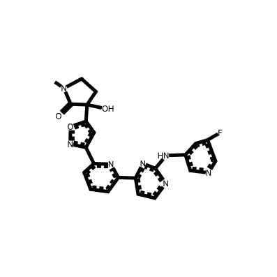 CN1CCC(O)(c2cc(-c3cccc(-c4ccnc(Nc5cncc(F)c5)n4)n3)no2)C1=O